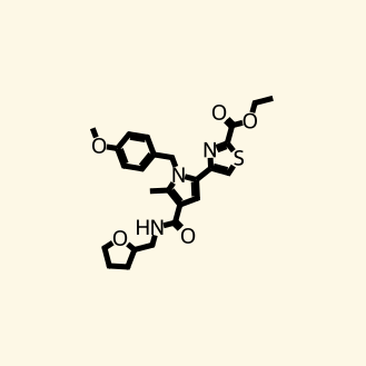 CCOC(=O)c1nc(-c2cc(C(=O)NCC3CCCO3)c(C)n2Cc2ccc(OC)cc2)cs1